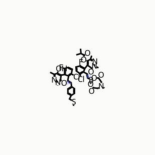 CSCc1ccc(/C=C/c2c(Cl)ccc(F)c2-c2c(O)c(C)nn(C)c2=O)cc1.Cc1nn(C)c(=O)c(-c2c(F)ccc(Cl)c2/C=C/B2OC(=O)CN(C)CC(=O)O2)c1OC(=O)C(C)C